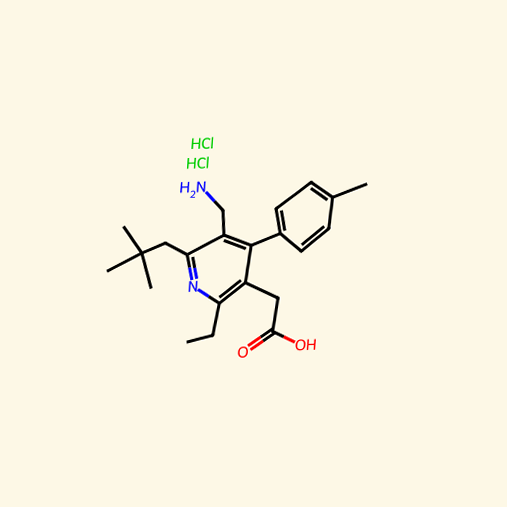 CCc1nc(CC(C)(C)C)c(CN)c(-c2ccc(C)cc2)c1CC(=O)O.Cl.Cl